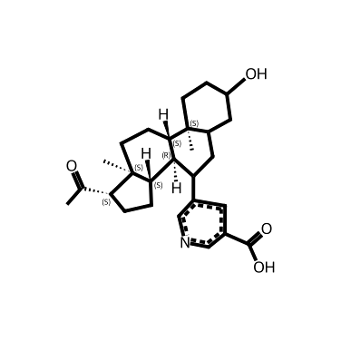 CC(=O)[C@H]1CC[C@H]2[C@@H]3C(c4cncc(C(=O)O)c4)CC4CC(O)CC[C@]4(C)[C@H]3CC[C@]12C